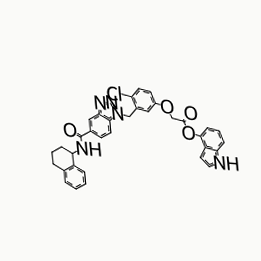 O=C(COc1ccc(Cl)c(Cn2nnc3cc(C(=O)NC4CCCc5ccccc54)ccc32)c1)Oc1cccc2[nH]ccc12